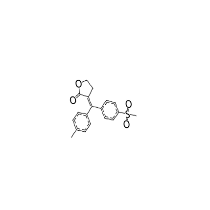 Cc1ccc(/C(=C2/CCOC2=O)c2ccc(S(C)(=O)=O)cc2)cc1